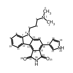 CN(C)CCCn1c2ccccc2c2c3c(c(-c4cc[nH]c4)cc21)C(=O)NC3=O